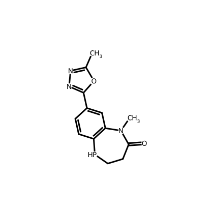 Cc1nnc(-c2ccc3c(c2)N(C)C(=O)CCP3)o1